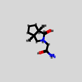 NC(=O)CN1C[C@@H]2CCC[C@@H]2C1=O